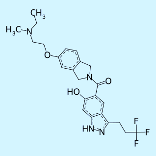 CCN(C)CCOc1ccc2c(c1)CN(C(=O)c1cc3c(CCC(F)(F)F)n[nH]c3cc1O)C2